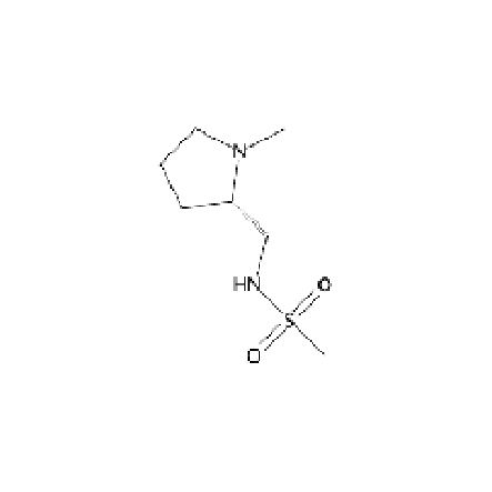 CN1CCC[C@H]1CNS(C)(=O)=O